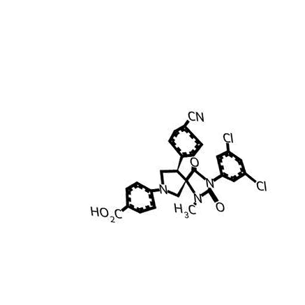 CN1C(=O)N(c2cc(Cl)cc(Cl)c2)C(=O)[C@]12CN(c1ccc(C(=O)O)cc1)C[C@H]2c1ccc(C#N)cc1